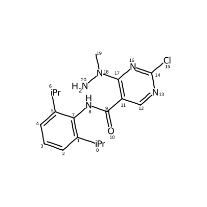 CC(C)c1cccc(C(C)C)c1NC(=O)c1cnc(Cl)nc1N(C)N